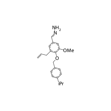 C=CCc1cc(C=NN)cc(OC)c1OCc1ccc(C(C)C)cc1